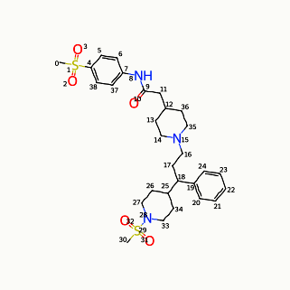 CS(=O)(=O)c1ccc(NC(=O)CC2CCN(CCC(c3ccccc3)C3CCN(S(C)(=O)=O)CC3)CC2)cc1